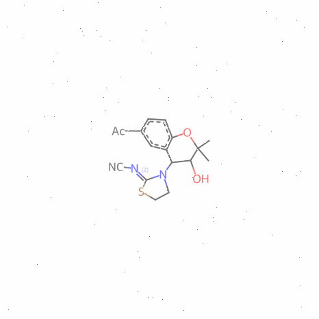 CC(=O)c1ccc2c(c1)C(N1CCS/C1=N\C#N)C(O)C(C)(C)O2